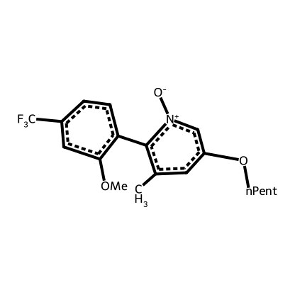 CCCCCOc1cc(C)c(-c2ccc(C(F)(F)F)cc2OC)[n+]([O-])c1